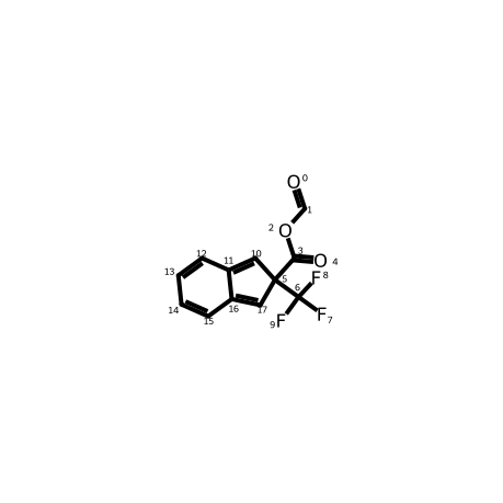 O=COC(=O)C1(C(F)(F)F)C=c2ccccc2=C1